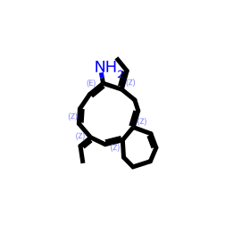 C/C=C1/C=C\C=C(N)/C(=C\C)C/C=C2/C=CCCC/C2=C/1